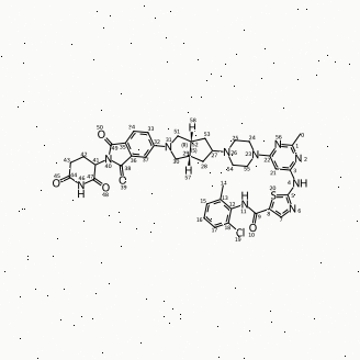 Cc1nc(Nc2ncc(C(=O)Nc3c(C)cccc3Cl)s2)cc(N2CCN(C3C[C@@H]4CN(c5ccc6c(c5)C(=O)N(C5CCC(=O)NC5=O)C6=O)C[C@@H]4C3)CC2)n1